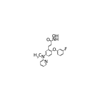 CN(c1ccc(Oc2cccc(F)c2)c(/C=C/C(=O)NO)c1)c1ccccn1